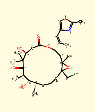 C/C(=C\c1csc(C)n1)[C@@H]1C[C@@H]2O[C@]2(CF)CCC[C@H](C)[C@H](O)[C@@H](C)C(=O)C(C)(C)[C@@H](O)CC(=O)O1